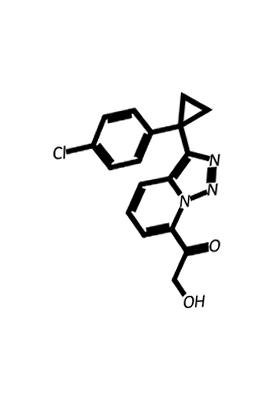 O=C(CO)c1cccc2c(C3(c4ccc(Cl)cc4)CC3)nnn12